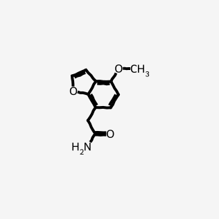 COc1ccc(CC(N)=O)c2occc12